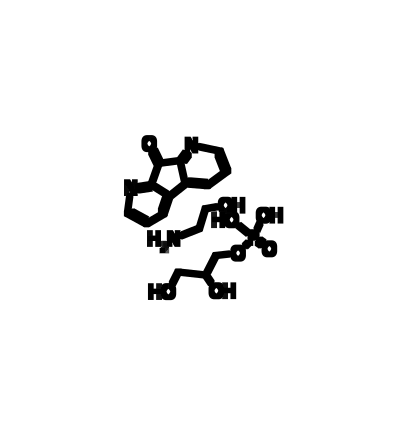 NCCO.O=C1c2ncccc2-c2cccnc21.O=P(O)(O)OCC(O)CO